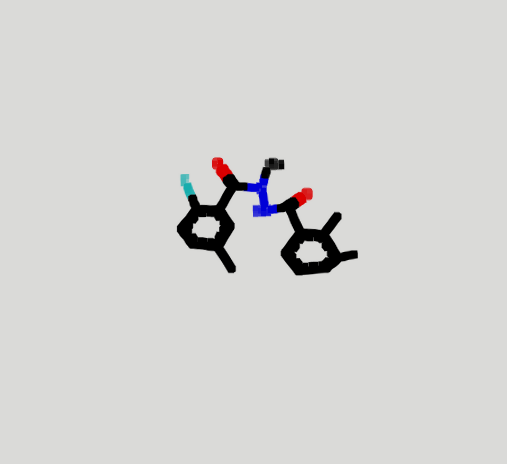 Cc1ccc(F)c(C(=O)N(NC(=O)c2cccc(C)c2C)C(C)(C)C)c1